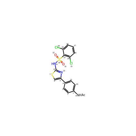 CC(=O)Nc1ccc(-c2csc(NS(=O)(=O)c3c(Cl)cccc3Cl)n2)cc1